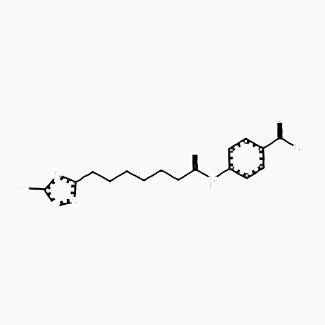 NC(=O)c1ccc(NC(=O)CCCCCCc2noc(C(F)(F)F)n2)cc1